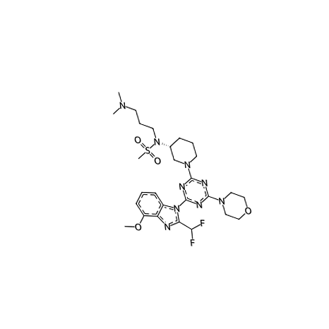 COc1cccc2c1nc(C(F)F)n2-c1nc(N2CCOCC2)nc(N2CCC[C@@H](N(CCCN(C)C)S(C)(=O)=O)C2)n1